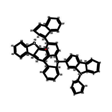 c1ccc(-n2c3ccccc3c3ccc(N(c4ccc(-c5cccc6ccccc56)cc4)c4ccccc4-c4ccc5oc6ccccc6c5c4)cc32)cc1